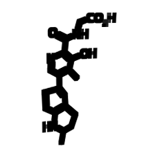 Cc1c(-c2ccc3c(c2)CCC(C)N3)cnc(C(=O)NCC(=O)O)c1O